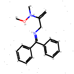 C=C(CN=C(c1ccccc1)c1ccccc1)N(C)OC